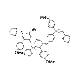 C/C=C(\C=C/C/C=C(\C=C/C/C=C(\C=C(/C)CCC)C(=C=Nc1ccccc1)c1ccc(OC)cc1)C(=C=Nc1ccccc1)c1ccc(OC)cc1)C(=C=Nc1ccccc1)c1ccc(OC)cc1